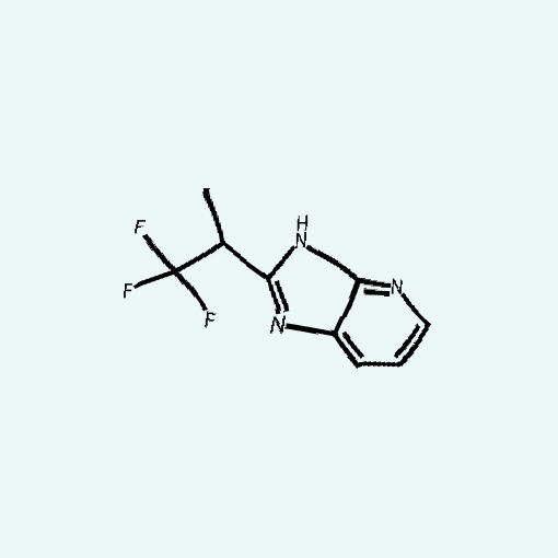 CC(c1nc2cccnc2[nH]1)C(F)(F)F